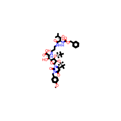 COc1ccc(Cn2c(=O)ccn([C@@H]3O[C@@H](C(O)[C@H](NCCCNC(=O)[C@H](NC(=O)OCc4ccccc4)[C@@H](O)C(C)C)C(=O)O)[C@@H](O[Si](C)(C)C(C)(C)C)[C@H]3O[Si](C)(C)C(C)(C)C)c2=O)cc1